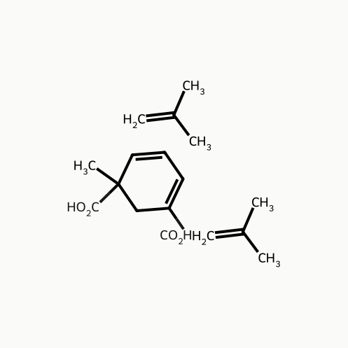 C=C(C)C.C=C(C)C.CC1(C(=O)O)C=CC=C(C(=O)O)C1